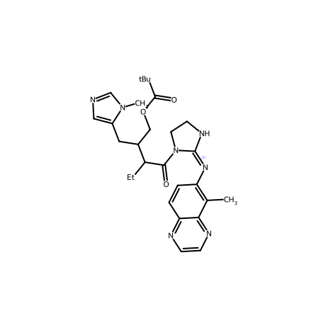 CCC(C(=O)N1CCN/C1=N/c1ccc2nccnc2c1C)C(COC(=O)C(C)(C)C)Cc1cncn1C